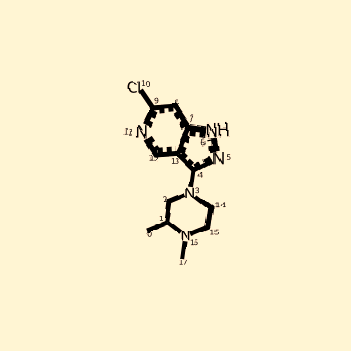 CC1CN(c2n[nH]c3cc(Cl)ncc23)CCN1C